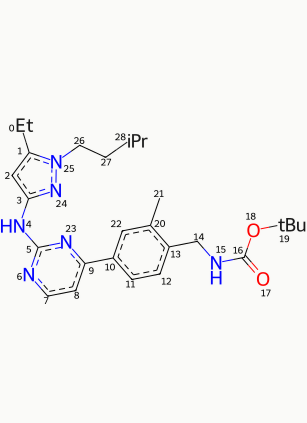 CCc1cc(Nc2nccc(-c3ccc(CNC(=O)OC(C)(C)C)c(C)c3)n2)nn1CCC(C)C